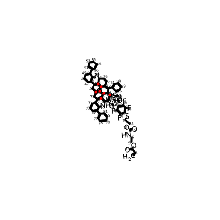 C=CC(=O)OCCNC(=O)OCCSc1c(F)c(F)c(S(=O)(=O)NS(=O)(=O)c2ccccc2-c2c3cc/c(=N/c4c(-c5ccccc5)cccc4-c4ccccc4)cc-3oc3cc(Nc4c(-c5ccccc5)cccc4-c4ccccc4)ccc23)c(F)c1F